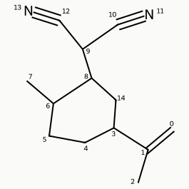 C=C(C)C1CCC(C)C(C(C#N)C#N)C1